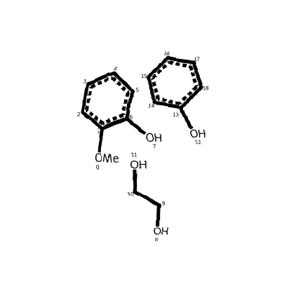 COc1ccccc1O.OCCO.Oc1ccccc1